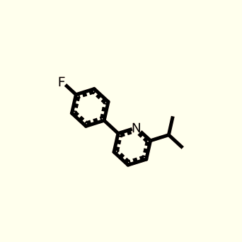 CC(C)c1cccc(-c2ccc(F)cc2)n1